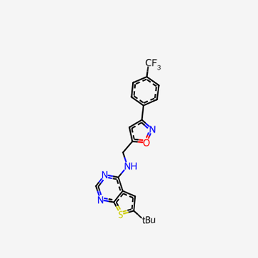 CC(C)(C)c1cc2c(NCc3cc(-c4ccc(C(F)(F)F)cc4)no3)ncnc2s1